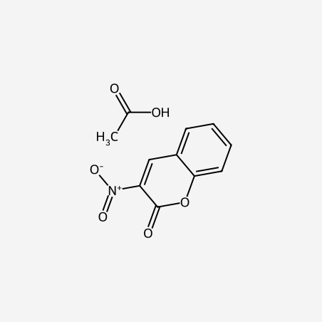 CC(=O)O.O=c1oc2ccccc2cc1[N+](=O)[O-]